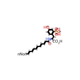 CCCCCCCCCC=CC=CC=CC=CC=CC(=O)N[C@@H](Cc1ccc(O)cc1P(=O)(O)O)C(=O)O